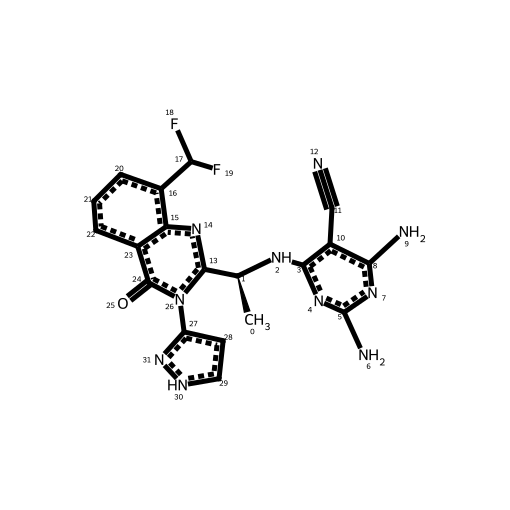 C[C@H](Nc1nc(N)nc(N)c1C#N)c1nc2c(C(F)F)cccc2c(=O)n1-c1cc[nH]n1